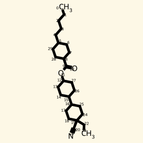 CCCCCC1CCC(C(=O)OC2CCC(C3CCC(C#N)(CC)CC3)CC2)CC1